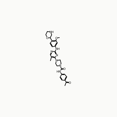 COc1cc(Nc2ncc(C)c(N3CCN(C(=O)Nc4ccc(C(C)=O)cc4)CC3)n2)ccc1C1CNCCO1